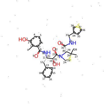 Cc1c(O)cccc1C(=O)N[C@@H](Cc1ccccc1)[C@H](O)C(=O)N1CSC(C)(C)[C@H]1C(=O)NCc1ccsc1